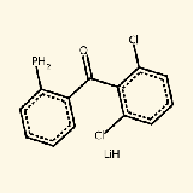 O=C(c1ccccc1P)c1c(Cl)cccc1Cl.[LiH]